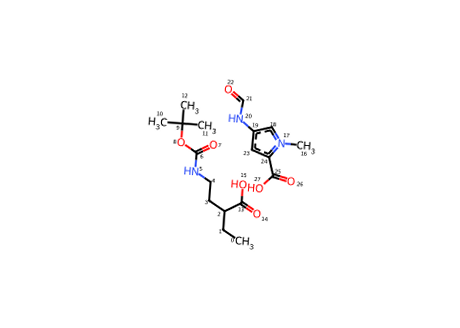 CCC(CCNC(=O)OC(C)(C)C)C(=O)O.Cn1cc(NC=O)cc1C(=O)O